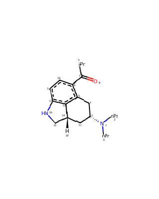 CCCN(CCC)[C@H]1Cc2c(C(=O)C(C)C)ccc3c2[C@@H](CN3)C1